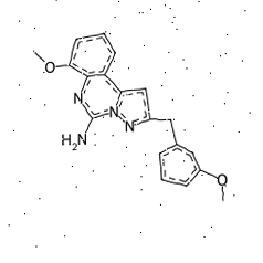 COc1cccc(Cc2cc3c4cccc(OC)c4nc(N)n3n2)c1